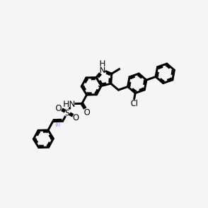 Cc1[nH]c2ccc(C(=O)NS(=O)(=O)/C=C/c3ccccc3)cc2c1Cc1ccc(-c2ccccc2)cc1Cl